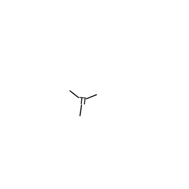 [CH3][Tl]([CH3])[CH3]